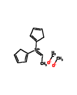 C[CH]=[Ti+2]([C]1=CC=CC1)[C]1=CC=CC1.C[O-].C[O-]